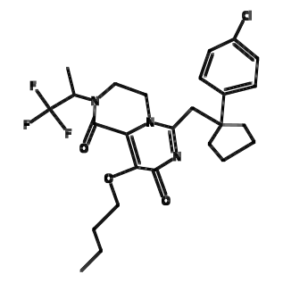 CCCCOc1c2n(c(CC3(c4ccc(Cl)cc4)CCCC3)nc1=O)CCN(C(C)C(F)(F)F)C2=O